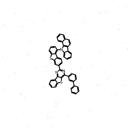 c1ccc(-c2cccc(-c3nc(-c4ccc5c(c4)sc4cccc(-n6c7ccccc7c7ccc8ccccc8c76)c45)nc4c3sc3ccccc34)c2)cc1